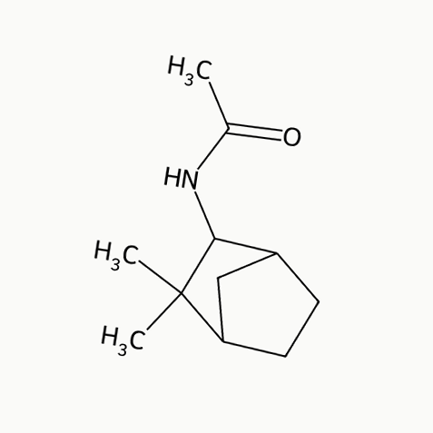 CC(=O)NC1C2CCC(C2)C1(C)C